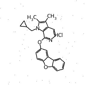 Cc1c(C)n(CC2CC2)c2c(Oc3ccc4oc5ccccc5c4c3)nccc12.Cl